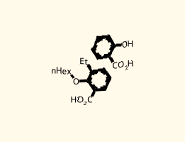 CCCCCCOc1c(CC)cccc1C(=O)O.O=C(O)c1ccccc1O